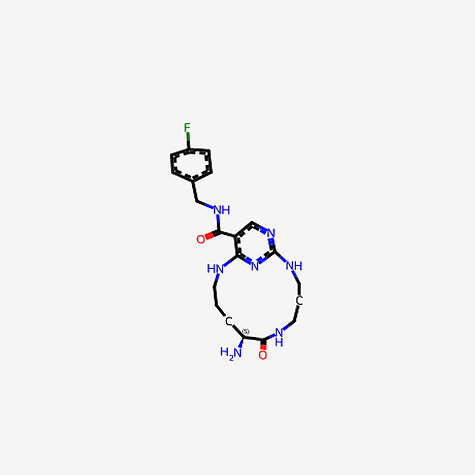 N[C@H]1CCCNc2nc(ncc2C(=O)NCc2ccc(F)cc2)NCCCNC1=O